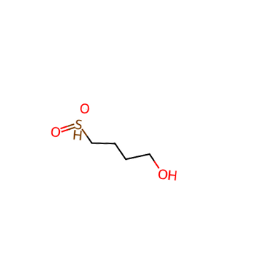 O=[SH](=O)CCCCO